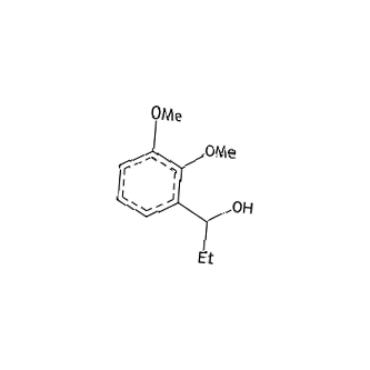 CCC(O)c1cccc(OC)c1OC